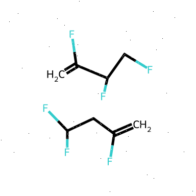 C=C(F)C(F)CF.C=C(F)CC(F)F